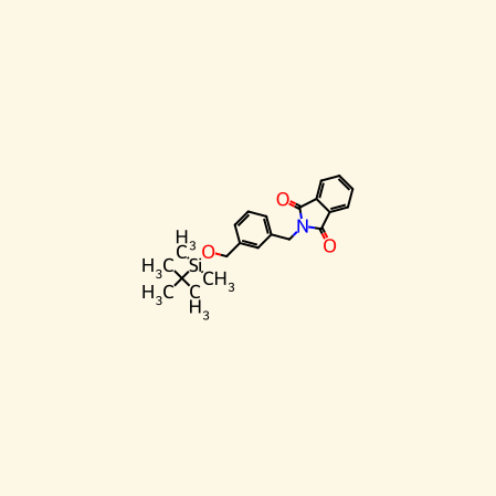 CC(C)(C)[Si](C)(C)OCc1cccc(CN2C(=O)c3ccccc3C2=O)c1